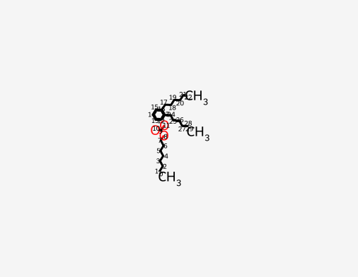 CCCCCCCCOC(=O)Oc1cccc(CCCCCC)c1CCCCCC